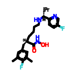 Cc1cc(C[C@H](CCCCN[C@@H](c2ccc(F)cn2)C(C)C)C(=O)NO)cc(C)c1F